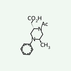 CC(=O)N1C[C@@H](C)N(c2ccccc2)C[C@@H]1CC(=O)O